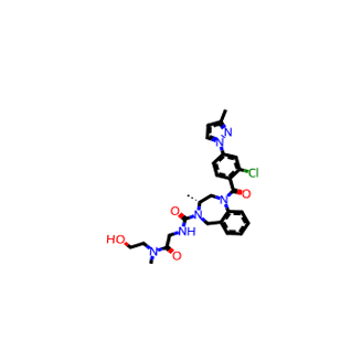 Cc1ccn(-c2ccc(C(=O)N3C[C@@H](C)N(C(=O)NCC(=O)N(C)CCO)Cc4ccccc43)c(Cl)c2)n1